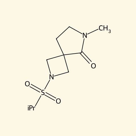 CC(C)S(=O)(=O)N1CC2(CCN(C)C2=O)C1